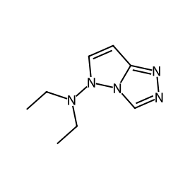 CCN(CC)n1ccc2nncn21